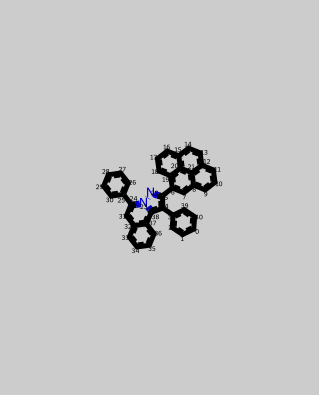 c1ccc(-c2c(-c3cc4cccc5ccc6cccc3c6c54)nn3c(-c4ccccc4)cc4ccccc4c23)cc1